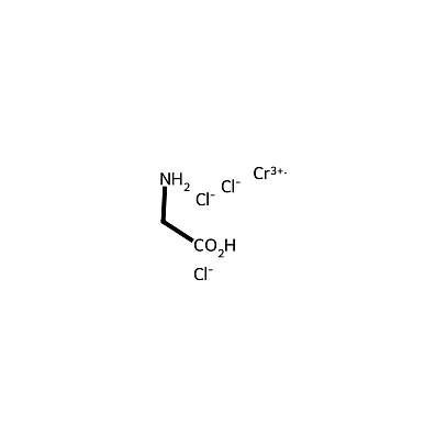 NCC(=O)O.[Cl-].[Cl-].[Cl-].[Cr+3]